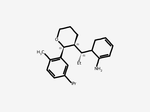 CC[C@@H](C1CC=CC=C1N)[C@@H]1CCCO[C@@H]1c1cc(C(C)C)ccc1C